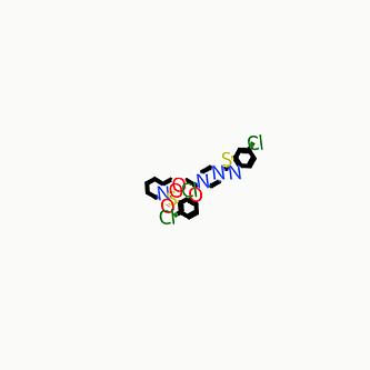 O=C(COCC1CCCCN1S(=O)(=O)c1c(Cl)cccc1Cl)N1CCN(c2nc3ccc(Cl)cc3s2)CC1